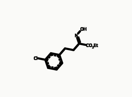 CCOC(=O)C(CCc1cccc(Cl)c1)=NO